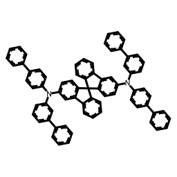 c1ccc(-c2ccc(N(c3cccc(-c4ccccc4)c3)c3ccc4c(c3)-c3ccccc3C43c4ccccc4-c4cc(N(c5ccc(-c6ccccc6)cc5)c5cccc(-c6ccccc6)c5)ccc43)cc2)cc1